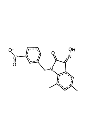 Cc1cc(C)c2c(c1)/C(=N/O)C(=O)N2Cc1cccc([N+](=O)[O-])c1